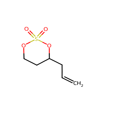 C=CCC1CCOS(=O)(=O)O1